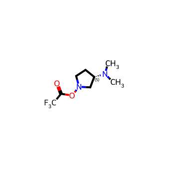 CN(C)[C@H]1CCN(OC(=O)C(F)(F)F)C1